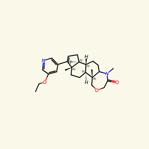 CCOc1cncc(C2=CC[C@H]3[C@@H]4CCC5N(C)C(=O)COC[C@]5(C)[C@H]4CC[C@]23C)c1